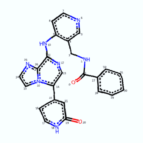 O=C(NCc1cnccc1Nc1ncc(-c2cc[nH]c(=O)c2)n2ccnc12)c1ccccc1